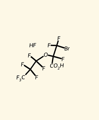 F.O=C(O)C(F)(OC(F)(F)C(F)(F)C(F)(F)F)C(F)(F)Br